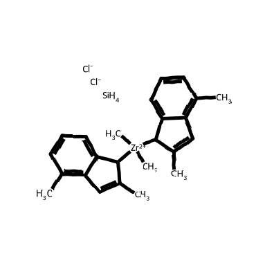 CC1=Cc2c(C)cccc2[CH]1[Zr+2]([CH3])([CH3])[CH]1C(C)=Cc2c(C)cccc21.[Cl-].[Cl-].[SiH4]